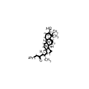 CC(C)CC(=O)C[C@@H](C)[C@H]1CC[C@H]2[C@@H]3CC=C4C(C)(C)[C@H](O)CC[C@]4(C)[C@H]3CC[C@]12C